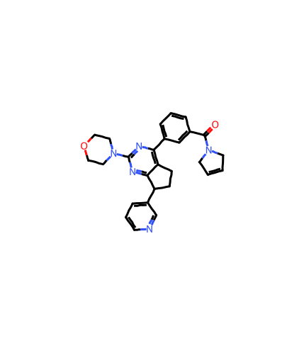 O=C(c1cccc(-c2nc(N3CCOCC3)nc3c2CCC3c2cccnc2)c1)N1CC=CC1